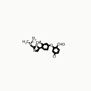 CN(C)Cc1ncc(-c2ccc(Oc3cc(Cl)ccc3C=O)cc2F)n1C